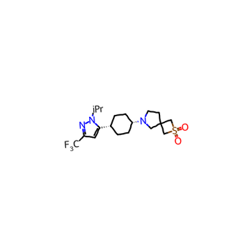 CC(C)n1nc(C(F)(F)F)cc1[C@H]1CC[C@@H](N2CCC3(C2)CS(=O)(=O)C3)CC1